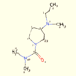 CCN(C)C1CCN(C(=O)N(C)C)C1